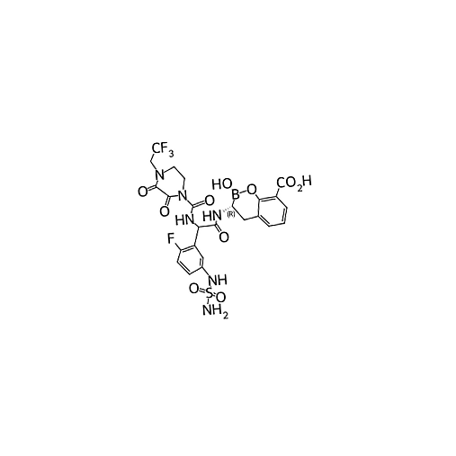 NS(=O)(=O)Nc1ccc(F)c(C(NC(=O)N2CCN(CC(F)(F)F)C(=O)C2=O)C(=O)N[C@H]2Cc3cccc(C(=O)O)c3OB2O)c1